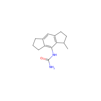 CC1CCc2cc3c(c(NC(N)=O)c21)CCC3